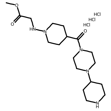 COC(=O)CNN1CCC(C(=O)N2CCN(C3CCNCC3)CC2)CC1.Cl.Cl.Cl